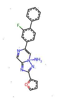 N[N+]12C=C(c3ccc(-c4ccccc4)c(F)c3)N=CC1=NC(c1ccco1)=N2